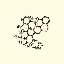 [2H]C([2H])([2H])N1C(=O)[C@H]2CN[C@H](C)CN2c2c1c(=O)n(-c1c(C(C)C)ncnc1C(C)C)c1nc(-c3c(F)cccc3OC)c(F)cc21